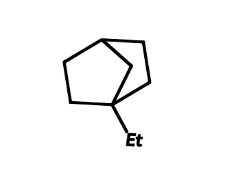 CCC12CCC(CC1)C2